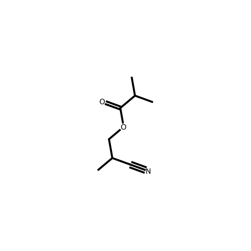 CC(C#N)COC(=O)C(C)C